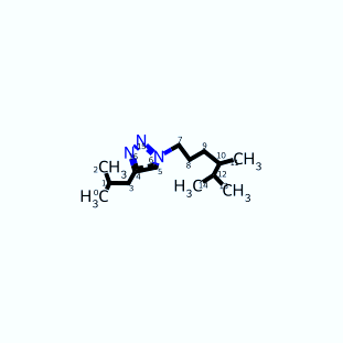 CC(C)Cc1cn(CCCC(C)C(C)C)nn1